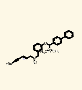 CCN(C/C=C/C#CC(C)(C)C)Cc1cccc(OC(c2ccc(-c3ccccc3)cc2)[SiH](C)C)c1